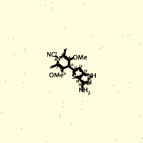 COC1=C(C)N(C#N)C(C)=C(OC)C1c1cc2[nH]nc(N)c2s1